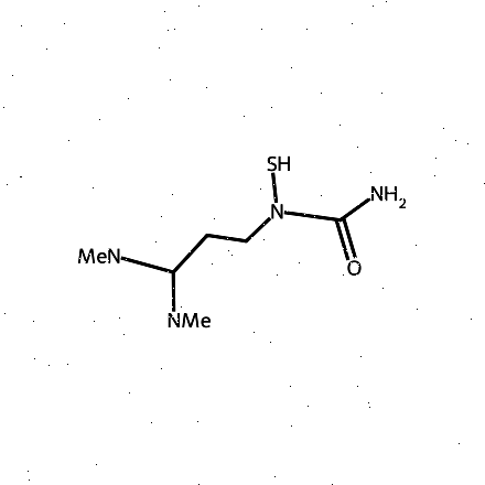 CNC(CCN(S)C(N)=O)NC